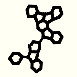 c1ccc(-n2c3ccccc3c3cc(-n4c5ccccc5c5c6c7ccccc7n7c8ccccc8c(cc54)c67)cnc32)cc1